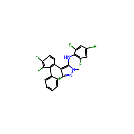 Cc1nn(C)c(Nc2c(F)cc(Br)cc2F)c1-c1ccc(F)c(F)c1-c1ccccc1F